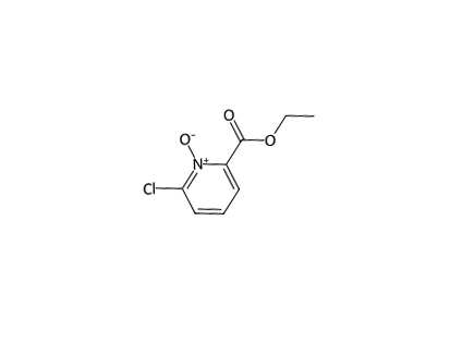 CCOC(=O)c1cccc(Cl)[n+]1[O-]